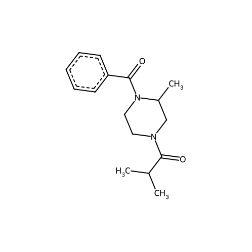 CC(C)C(=O)N1CCN(C(=O)c2ccccc2)C(C)C1